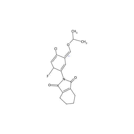 CC(C)O/C=C1/C=C(N2C(=O)C3=C(CCCC3)C2=O)C(F)C=C1Cl